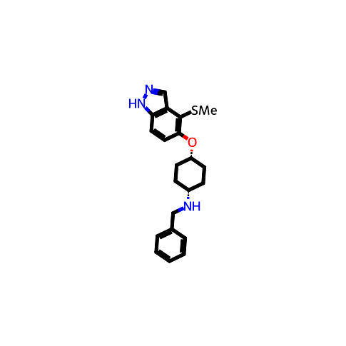 CSc1c(O[C@H]2CC[C@@H](NCc3ccccc3)CC2)ccc2[nH]ncc12